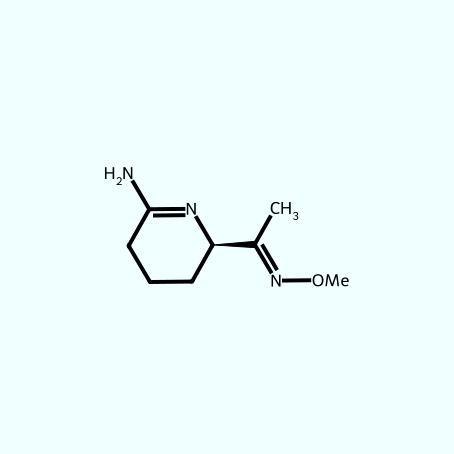 CO/N=C(\C)[C@H]1CCCC(N)=N1